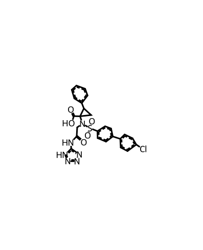 O=C(CN(C1(C(=O)O)CC1c1ccccc1)S(=O)(=O)c1ccc(-c2ccc(Cl)cc2)cc1)Nc1nnn[nH]1